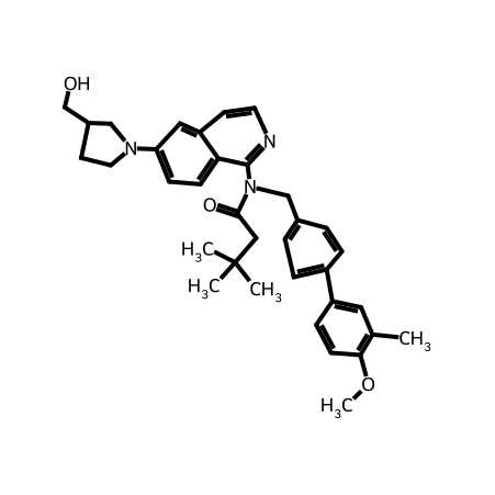 COc1ccc(-c2ccc(CN(C(=O)CC(C)(C)C)c3nccc4cc(N5CCC(CO)C5)ccc34)cc2)cc1C